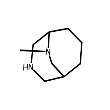 CN1CC2CCCC1CNC2